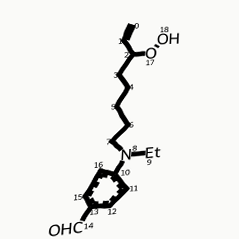 C=CC(CCCCCN(CC)c1ccc(C=O)cc1)OO